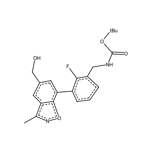 Cc1noc2c(-c3cccc(CNC(=O)OC(C)(C)C)c3F)cc(CO)cc12